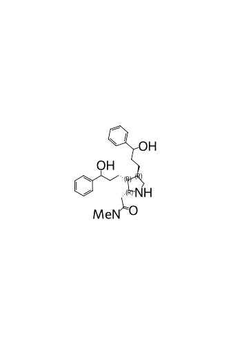 CNC(=O)C[C@H]1NC[C@H](CCC(O)c2ccccc2)[C@H]1CCC(O)c1ccccc1